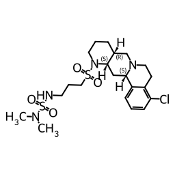 CN(C)S(=O)(=O)NCCCS(=O)(=O)N1CCC[C@@H]2CN3CCc4c(Cl)cccc4[C@@H]3C[C@@H]21